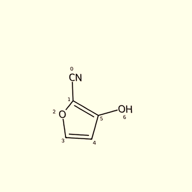 N#Cc1occc1O